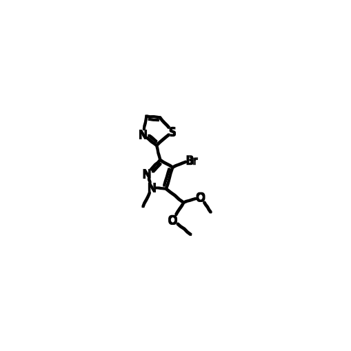 COC(OC)c1c(Br)c(-c2nccs2)nn1C